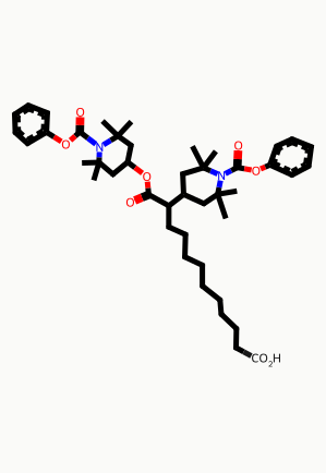 CC1(C)CC(OC(=O)C(CCCCCCCCCC(=O)O)C2CC(C)(C)N(C(=O)Oc3ccccc3)C(C)(C)C2)CC(C)(C)N1C(=O)Oc1ccccc1